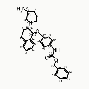 N[C@H]1CCCN([C@H]2CCc3ccccc3[C@@H]2Oc2ccc(NC(=O)OCc3ccccc3)cc2)C1